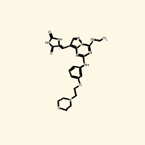 O=C1NC(=O)/C(=C/c2cnn3c(NCC(F)(F)F)nc(Nc4cccc(OCCN5CCOCC5)c4)nc23)N1